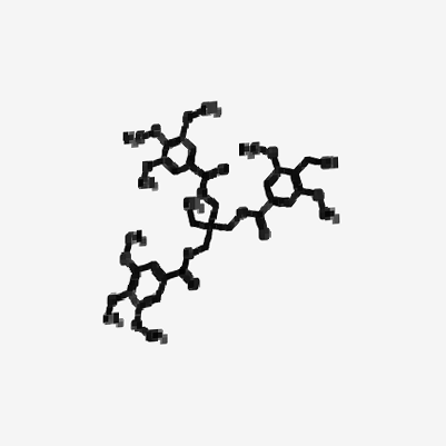 CCC(COC(=O)c1cc(OC)c(CO)c(OC)c1)(COC(=O)c1cc(OC)c(OC)c(OC)c1)COC(=O)c1cc(OC)c(OC)c(OC)c1